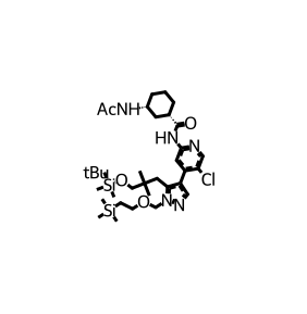 CC(=O)N[C@@H]1CCC[C@H](C(=O)Nc2cc(-c3cnn(COCC[Si](C)(C)C)c3CC(C)(C)CO[Si](C)(C)C(C)(C)C)c(Cl)cn2)C1